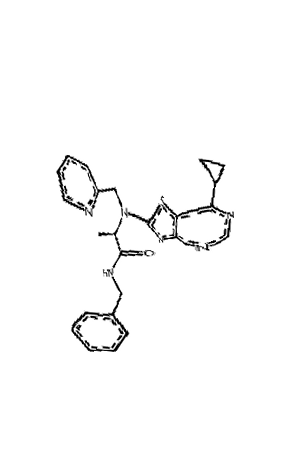 C[C@H](C(=O)NCc1ccccc1)N(Cc1ccccn1)c1nc2ncnc(C3CC3)c2s1